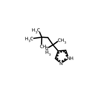 CC(C)(C)CC(C)(C)c1cn[nH]c1